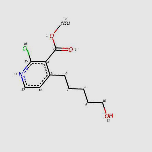 CC(C)(C)OC(=O)c1c(CCCCCO)ccnc1Cl